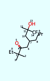 CCC(C)(C)C(=O)CC(CC(C)C)CC(C)(O)C(F)(F)F